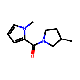 C[C@@H]1CCN(C(=O)c2cccn2C)C1